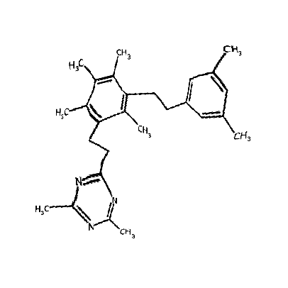 Cc1cc(C)cc(CCc2c(C)c(C)c(C)c(CCc3nc(C)nc(C)n3)c2C)c1